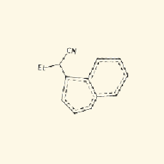 CCC(C#N)c1cccc2ccccc12